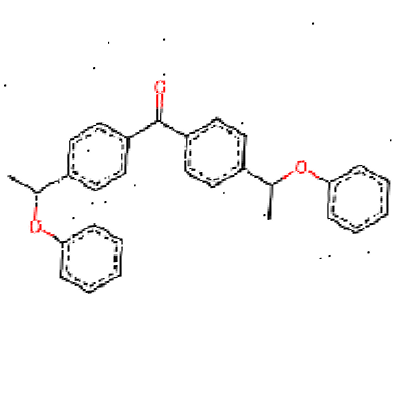 CC(Oc1ccccc1)c1ccc(C(=O)c2ccc(C(C)Oc3ccccc3)cc2)cc1